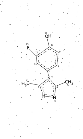 Cc1nnc(C)n1-c1ccc(O)c(F)c1